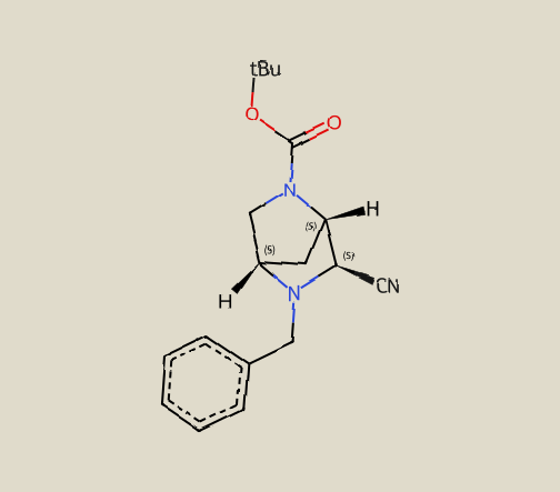 CC(C)(C)OC(=O)N1C[C@@H]2C[C@H]1[C@@H](C#N)N2Cc1ccccc1